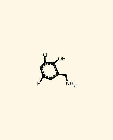 NCc1cc(F)cc(Cl)c1O